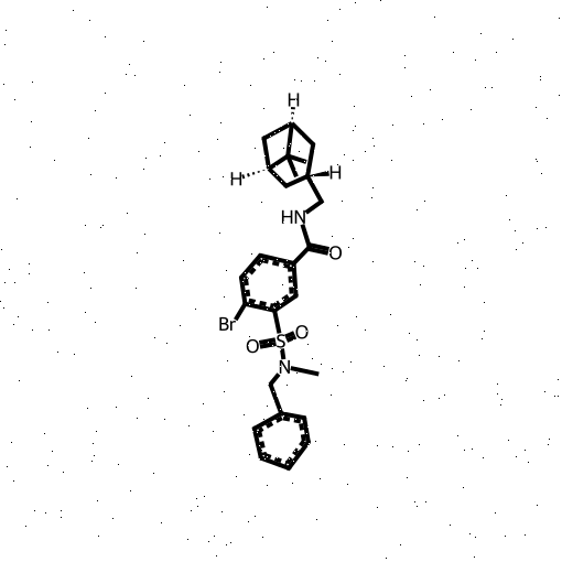 CN(Cc1ccccc1)S(=O)(=O)c1cc(C(=O)NC[C@H]2C[C@@H]3C[C@H](C2)C3(C)C)ccc1Br